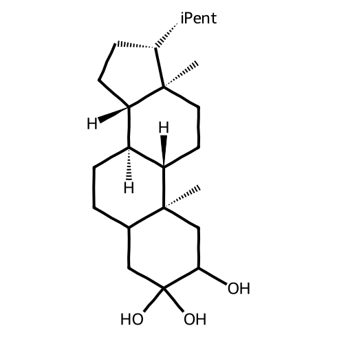 CCC[C@@H](C)[C@H]1CC[C@H]2[C@@H]3CCC4CC(O)(O)C(O)C[C@]4(C)[C@H]3CC[C@]12C